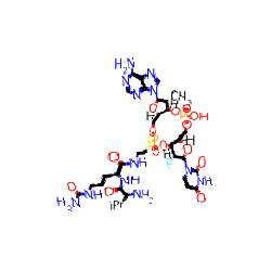 CC(C)C(N)C(=O)NC(CCCNC(N)=O)C(=O)NCCSP1(=O)OC[C@H]2O[C@@H](n3cnc4c(N)ncnc43)[C@H](C)[C@@H]2OP(=O)(O)OC[C@H]2O[C@@H](n3ccc(=O)[nH]c3=O)[C@H](F)[C@@H]2O1